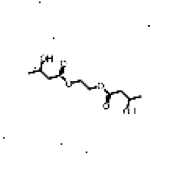 CC(O)CC(=O)OCCOC(=O)CC(C)O